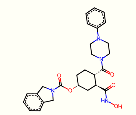 O=C(NO)[C@H]1C[C@H](OC(=O)N2Cc3ccccc3C2)CC[C@@H]1C(=O)N1CCN(c2ccccc2)CC1